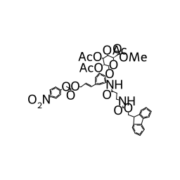 COC(=O)[C@H]1O[C@@H](Oc2ccc(C=CCOC(=O)Oc3ccc([N+](=O)[O-])cc3)cc2NC(=O)CCNC(=O)OCC2c3ccccc3-c3ccccc32)[C@H](OC(C)=O)[C@@H](OC(C)=O)[C@@H]1OC(C)=O